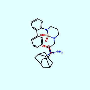 NC(=O)C12CC3CC(C1)C(NC(=O)CN1CCCN(c4ccccc4-c4ccccc4)S1(=O)=O)C(C3)C2